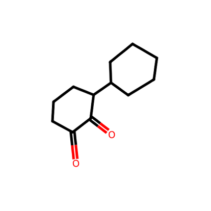 O=C1CCCC(C2CCCCC2)C1=O